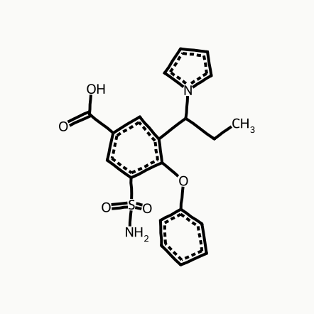 CCC(c1cc(C(=O)O)cc(S(N)(=O)=O)c1Oc1ccccc1)n1cccc1